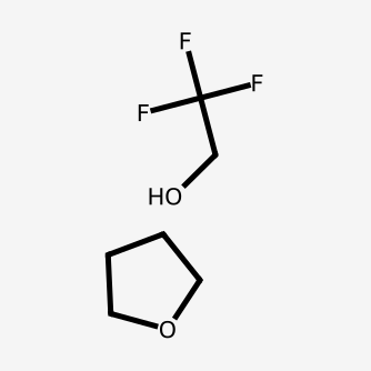 C1CCOC1.OCC(F)(F)F